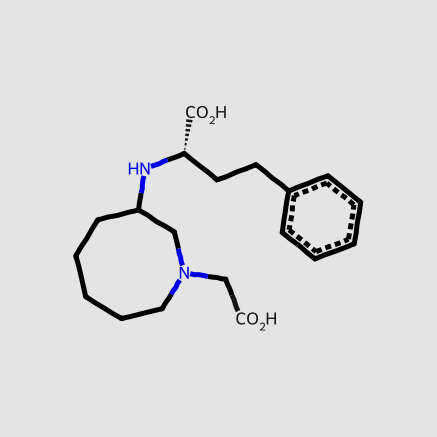 O=C(O)CN1CCCCCC(N[C@@H](CCc2ccccc2)C(=O)O)C1